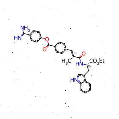 CCOC(=O)[C@H](Cc1c[nH]c2ccccc12)NC(=O)/C(C)=C/c1ccc(C(=O)Oc2ccc(C(=N)N)cc2)cc1